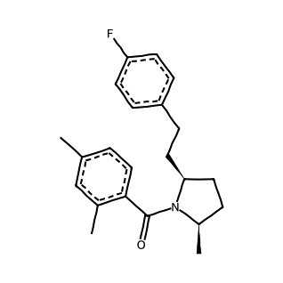 Cc1ccc(C(=O)N2[C@@H](CCc3ccc(F)cc3)CC[C@H]2C)c(C)c1